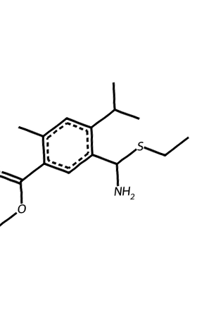 CCSC(N)c1cc(C(=O)OC)c(C)cc1C(C)C